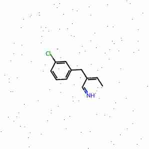 C/C=C(\C=N)Cc1cccc(Cl)c1